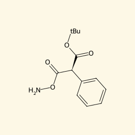 CC(C)(C)OC(=O)[C@H](C(=O)ON)c1ccccc1